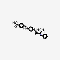 CC/C(=C\c1ccccc1)C1CC1N[C@H]1CC[C@H](NCc2ccc(C(=O)O)cc2)CC1